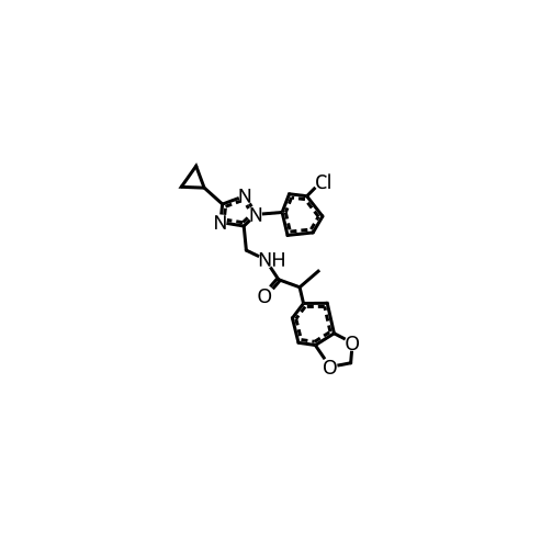 CC(C(=O)NCc1nc(C2CC2)nn1-c1cccc(Cl)c1)c1ccc2c(c1)OCO2